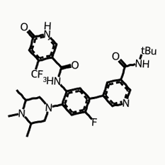 CC1CN(c2cc(F)c(-c3cncc(C(=O)NC(C)(C)C)c3)cc2NC(=O)c2c[nH]c(=O)cc2C(F)(F)F)CC(C)N1C